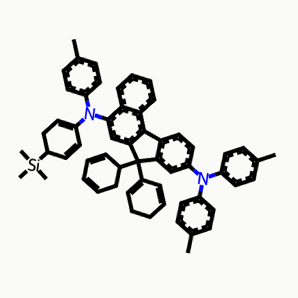 Cc1ccc(N(C2=CCC([Si](C)(C)C)C=C2)c2cc3c(c4ccccc24)-c2ccc(N(c4ccc(C)cc4)c4ccc(C)cc4)cc2C3(C2=CCCC=C2)C2C=CC=CC2)cc1